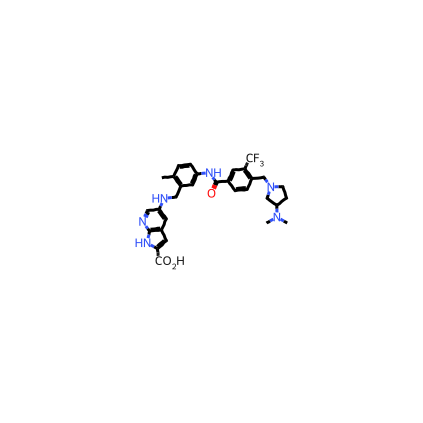 Cc1ccc(NC(=O)c2ccc(CN3CCC(N(C)C)C3)c(C(F)(F)F)c2)cc1CNc1cnc2[nH]c(C(=O)O)cc2c1